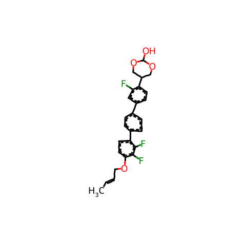 C/C=C/COc1ccc(-c2ccc(-c3ccc(C4COC(O)OC4)c(F)c3)cc2)c(F)c1F